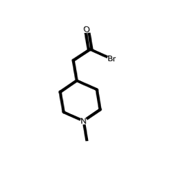 CN1CCC(CC(=O)Br)CC1